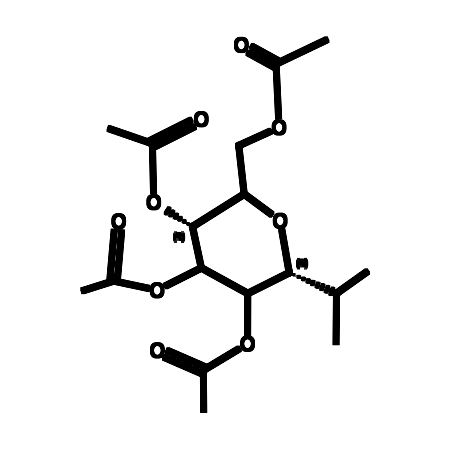 CC(=O)OCC1O[C@H](C(C)C)C(OC(C)=O)C(OC(C)=O)[C@@H]1OC(C)=O